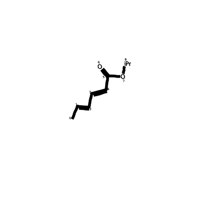 C/C=C/C=C/C(=O)OC(C)C